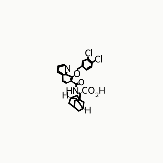 O=C(N[C@H](C(=O)O)C12CC3C[C@H](C1)C[C@@H](C3)C2)c1ccc2cccnc2c1OCc1ccc(Cl)c(Cl)c1